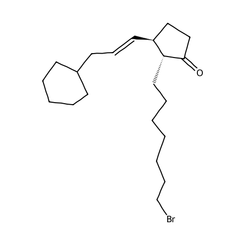 O=C1CC[C@H](/C=C/CC2CCCCC2)[C@H]1CCCCCCCBr